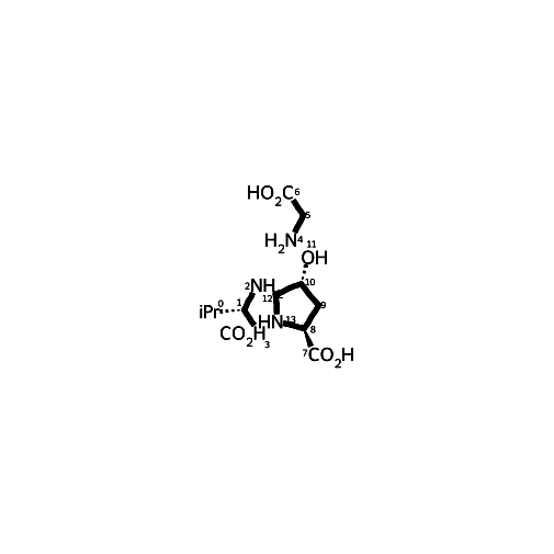 CC(C)[C@H](N)C(=O)O.NCC(=O)O.O=C(O)[C@@H]1C[C@@H](O)CN1